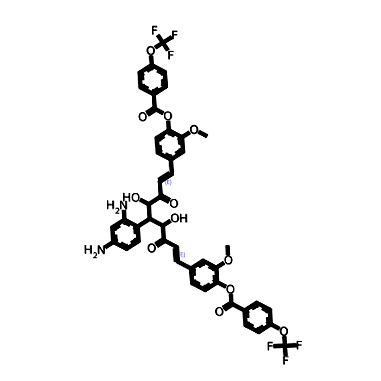 COc1cc(/C=C/C(=O)C(O)C(c2ccc(N)cc2N)C(O)C(=O)/C=C/c2ccc(OC(=O)c3ccc(OC(F)(F)F)cc3)c(OC)c2)ccc1OC(=O)c1ccc(OC(F)(F)F)cc1